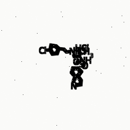 CC(CNCCc1ccc(Cl)cc1)NS(=O)(=O)c1ccc2cnccc2c1.Cl.Cl